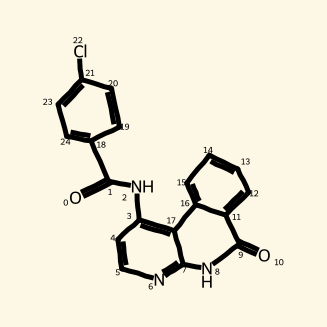 O=C(Nc1ccnc2[nH]c(=O)c3ccccc3c12)c1ccc(Cl)cc1